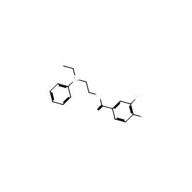 CCN(CCOC(=O)c1ccc(Cl)c(Cl)c1)c1ccccc1